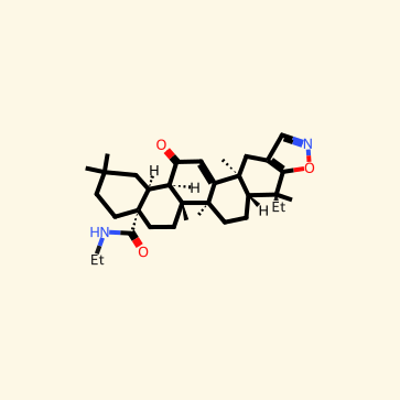 CCNC(=O)[C@]12CCC(C)(C)C[C@H]1[C@H]1C(=O)C=C3[C@@]4(C)Cc5cnoc5[C@@](C)(CC)[C@@H]4CC[C@@]3(C)[C@]1(C)CC2